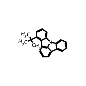 CC(C)(C)c1cccc2c1c1cccc3c4ccccc4n2c31